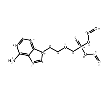 Nc1ncnc2c1ncn2CCOCP(=S)(OP=O)OP=O